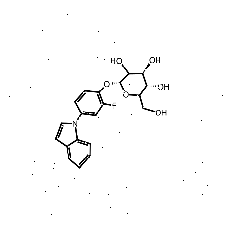 OCC1O[C@H](Oc2ccc(-n3ccc4ccccc43)cc2F)C(O)[C@@H](O)[C@@H]1O